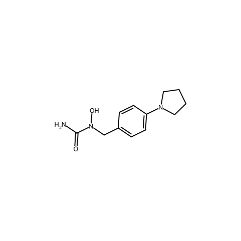 NC(=O)N(O)Cc1ccc(N2CCCC2)cc1